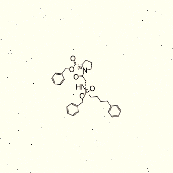 O=C(OCc1ccccc1)[C@@H]1CCCN1C(=O)CNP(=O)(CCCCc1ccccc1)OCc1ccccc1